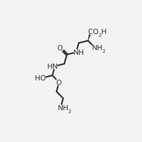 NCCOC(O)NCC(=O)NC[C@H](N)C(=O)O